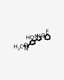 Cc1ncc(-c2ccc(-c3ccc(O[C@@H]4CCCC[C@@H]4F)nn3)c(O)c2)o1